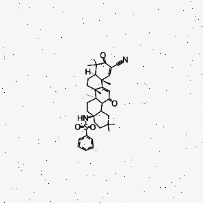 CC1(C)CC[C@]2(NS(=O)(=O)c3ccccc3)CC[C@]3(C)C(C(=O)C=C4[C@@]5(C)C=C(C#N)C(=O)C(C)(C)[C@@H]5CC[C@]43C)C2C1